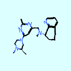 Cc1nc(CN(C)[C@H]2CCCc3cccnc32)cc(N2CCN(C)[C@H](C)C2)n1